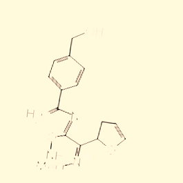 C=C(/N=C(ON)/C(=N\OC)C1CC=CO1)c1ccc(CO)cc1